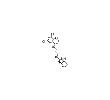 Clc1cc(Cl)c2c(c1)C(NCCCNc1nc3ccccc3[nH]1)CCO2